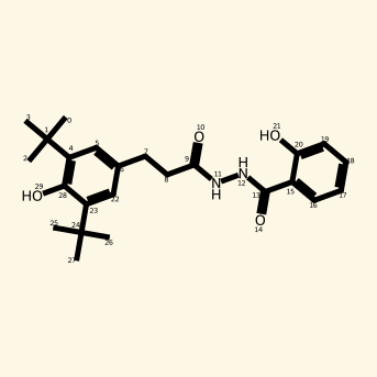 CC(C)(C)c1cc(CCC(=O)NNC(=O)c2ccccc2O)cc(C(C)(C)C)c1O